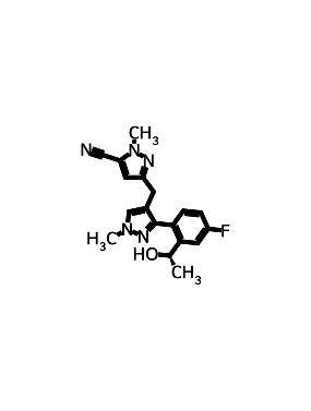 C[C@@H](O)c1cc(F)ccc1-c1nn(C)cc1Cc1cc(C#N)n(C)n1